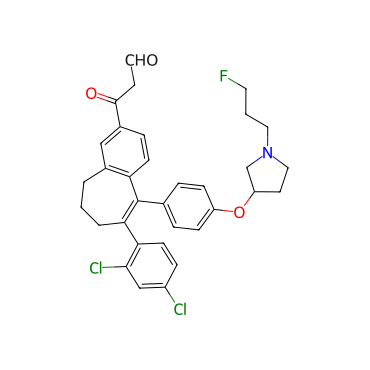 O=CCC(=O)c1ccc2c(c1)CCCC(c1ccc(Cl)cc1Cl)=C2c1ccc(OC2CCN(CCCF)C2)cc1